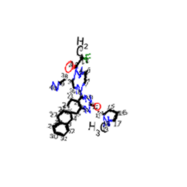 C=C(F)C(=O)N1CCN(c2nc(OC[C@@H]3CCCN3C)nc3c2CC[C@]2(CCc4ccccc4C2)C3)C[C@@H]1CC#N